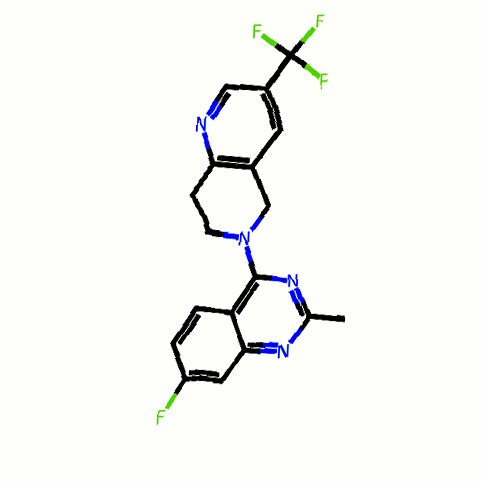 Cc1nc(N2CCc3ncc(C(F)(F)F)cc3C2)c2ccc(F)cc2n1